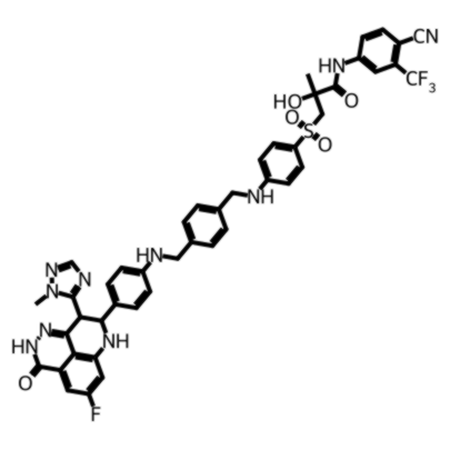 Cn1ncnc1C1c2n[nH]c(=O)c3cc(F)cc(c23)NC1c1ccc(NCc2ccc(CNc3ccc(S(=O)(=O)CC(C)(O)C(=O)Nc4ccc(C#N)c(C(F)(F)F)c4)cc3)cc2)cc1